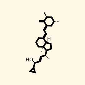 C=C1/C(=C/C=C2\CCC[C@]3(C)C([C@H](C)/C=C/[C@H](O)C4CC4)CC[C@@H]23)C[C@@H](C)C[C@@H]1C